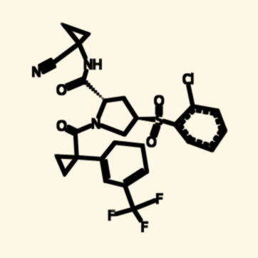 N#CC1(NC(=O)[C@@H]2C[C@@H](S(=O)(=O)c3ccccc3Cl)CN2C(=O)C2(C3=CC(C(F)(F)F)=CCC3)CC2)CC1